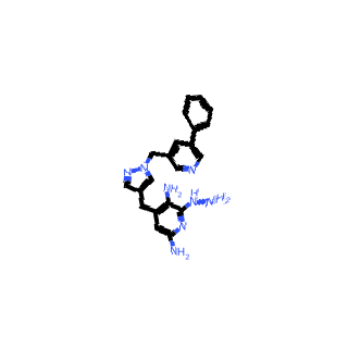 NNc1nc(N)cc(Cc2cnn(Cc3cncc(-c4ccccc4)c3)c2)c1N